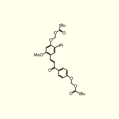 COc1cc(OCOC(=O)C(C)(C)C)c(C(C)C)cc1C=CC(=O)c1ccc(OCOC(=O)C(C)(C)C)cc1